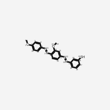 COc1ccc(/N=N/c2ccc(/N=N/c3cccc(S)c3)cc2OC)cc1